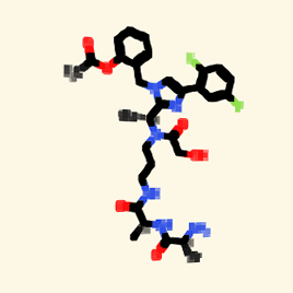 CC(C)[C@H](N)C(=O)N[C@@H](C)C(=O)NCCCN(C(=O)CO)[C@@H](c1nc(-c2cc(F)ccc2F)cn1Cc1ccccc1OC(=O)C(F)(F)F)C(C)(C)C